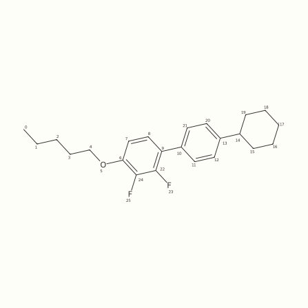 CCCCCOc1ccc(-c2ccc(C3CC[CH]CC3)cc2)c(F)c1F